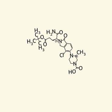 C[C@@H]1CN(C(=O)O)CCN1c1ccc2c(c1Cl)CN([C@@H](CCC(=O)OC(C)(C)C)C(N)=O)C2=O